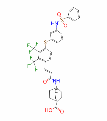 O=C(/C=C/c1ccc(Sc2cccc(NS(=O)(=O)c3ccccc3)c2)c(C(F)(F)F)c1C(F)(F)F)NC12CCC(C(=O)O)(CC1)CC2